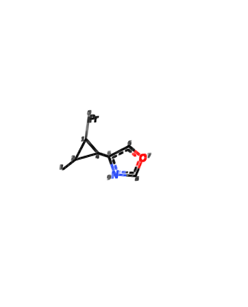 CC(C)C1C(C)C1c1cocn1